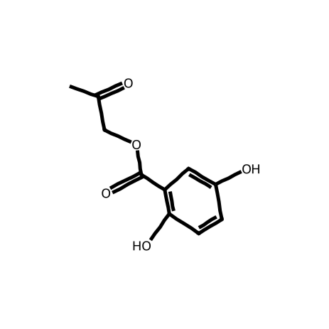 CC(=O)COC(=O)c1cc(O)ccc1O